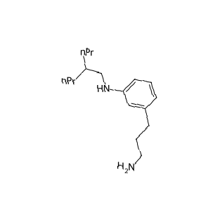 CCCC(CCC)CNc1cccc(CCCN)c1